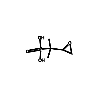 CC(C)(C1CO1)P(=O)(O)O